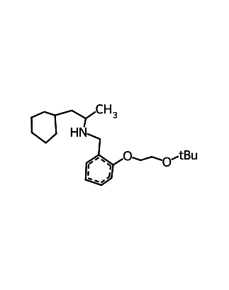 CC(CC1CCCCC1)NCc1ccccc1OCCOC(C)(C)C